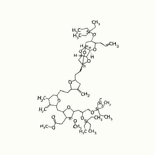 C=CCC1O[C@H]2C3O[C@]4(CCC5CC(=C)C(CCC6CC(C)C(=C)C(CC7OC(CC(CO[Si](CC)(CC)CC)O[Si](CC)(CC)CC)[C@H](OC)C7CC(=O)OC)O6)O5)C[C@H]3O[C@H]2C(O4)C1O[Si](CC)(CC)CC